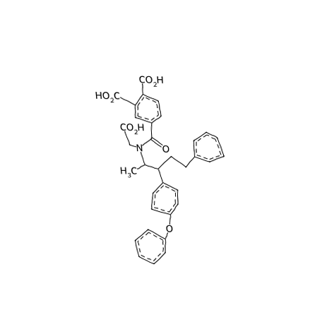 CC(C(CCc1ccccc1)c1ccc(Oc2ccccc2)cc1)N(CC(=O)O)C(=O)c1ccc(C(=O)O)c(C(=O)O)c1